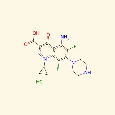 Cl.Nc1c(F)c(N2CCNCC2)c(F)c2c1c(=O)c(C(=O)O)cn2C1CC1